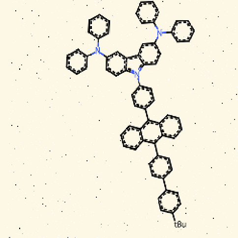 CC(C)(C)c1ccc(-c2ccc(-c3c4ccccc4c(-c4ccc(-n5c6ccc(N(c7ccccc7)c7ccccc7)cc6c6cc(N(c7ccccc7)c7ccccc7)ccc65)cc4)c4ccccc34)cc2)cc1